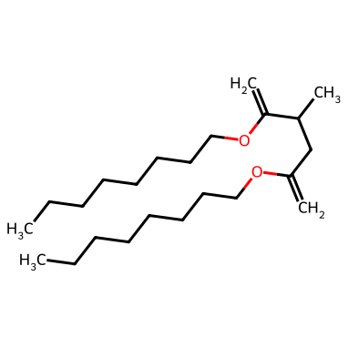 C=C(CC(C)C(=C)OCCCCCCCC)OCCCCCCCC